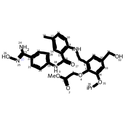 COC(=O)COc1c(CNc2ccc(C)cc2C(=O)Nc2ccc(/C(N)=N/O)cc2)cc(CO)cc1OC(C)C